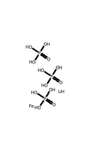 O=P(O)(O)O.O=P(O)(O)O.O=P(O)(O)O.[Fe].[LiH]